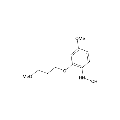 COCCCOc1cc(OC)ccc1NO